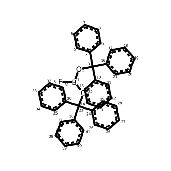 FB(OC(c1ccccc1)(c1ccccc1)c1ccccc1)OC(c1ccccc1)(c1ccccc1)c1ccccc1